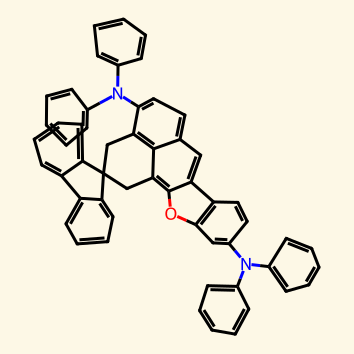 c1ccc(N(c2ccccc2)c2ccc3c(c2)oc2c4c5c(c(N(c6ccccc6)c6ccccc6)ccc5cc23)CC2(C4)c3ccccc3-c3ccccc32)cc1